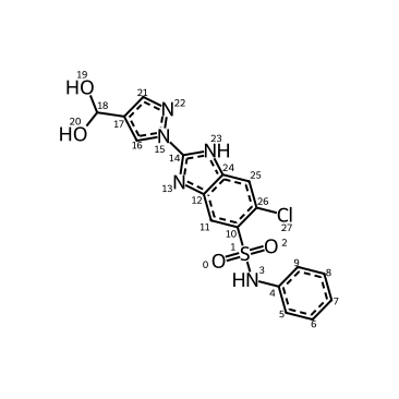 O=S(=O)(Nc1ccccc1)c1cc2nc(-n3cc(C(O)O)cn3)[nH]c2cc1Cl